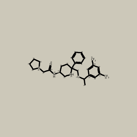 CC(OCC1(c2ccccc2)CC[C@H](NC(=O)CN2CCCC2)CN1)c1cc(C(F)(F)F)cc(C(F)(F)F)c1